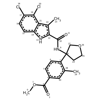 COC(=O)c1ccc(C2(NC(=O)c3[nH]c4ccc(Cl)c(Cl)c4c3C)CCOC2)c(C)c1